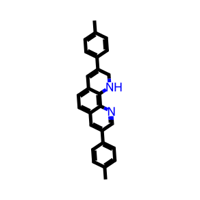 Cc1ccc(C2=Cc3ccc4cc(-c5ccc(C)cc5)cnc4c3NC2)cc1